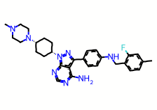 Cc1ccc(CNc2ccc(-c3nn([C@H]4CC[C@@H](N5CCN(C)CC5)CC4)c4ncnc(N)c34)cc2)c(F)c1